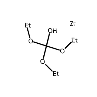 CCOC(O)(OCC)OCC.[Zr]